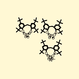 CC(C)(C)c1cc2c(c(C(C)(C)C)c1)OOP(=O)([O-])OOc1c(cc(C(C)(C)C)cc1C(C)(C)C)C2.CC(C)(C)c1cc2c(c(C(C)(C)C)c1)OOP(=O)([O-])OOc1c(cc(C(C)(C)C)cc1C(C)(C)C)C2.CC(C)(C)c1cc2c(c(C(C)(C)C)c1)OOP(=O)([O-])OOc1c(cc(C(C)(C)C)cc1C(C)(C)C)C2.[Al+3]